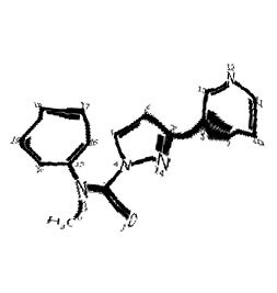 CN(C(=O)n1ccc(-c2cccnc2)n1)c1ccccc1